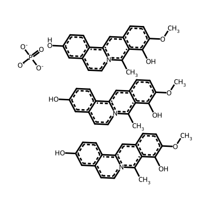 COc1ccc2cc3c4ccc(O)cc4cc[n+]3c(C)c2c1O.COc1ccc2cc3c4ccc(O)cc4cc[n+]3c(C)c2c1O.COc1ccc2cc3c4ccc(O)cc4cc[n+]3c(C)c2c1O.O=P([O-])([O-])[O-]